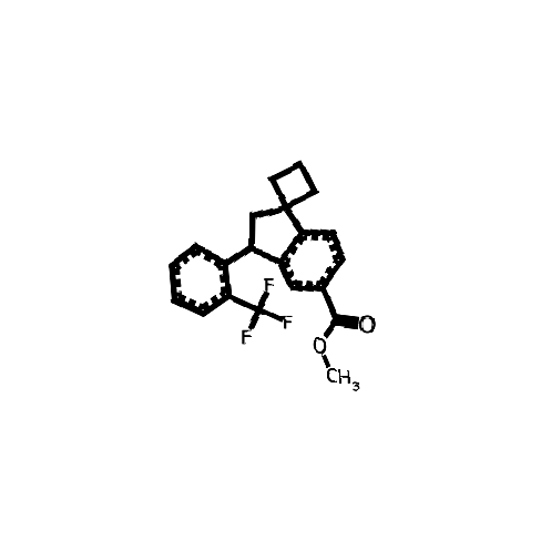 COC(=O)c1ccc2c(c1)C(c1ccccc1C(F)(F)F)CC21CCC1